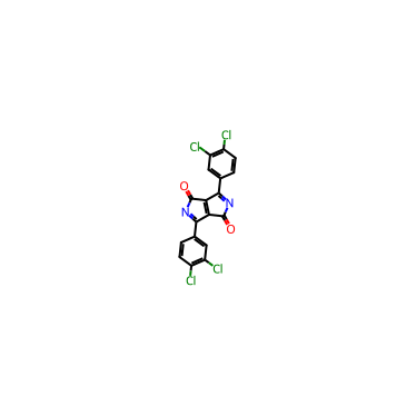 O=c1nc(-c2ccc(Cl)c(Cl)c2)c2c(=O)nc(-c3ccc(Cl)c(Cl)c3)c1=2